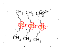 CCCCCCOP(=O)([O-])OCCCCCC.CCCCCCOP(=O)([O-])OCCCCCC.CCCCCCOP(=O)([O-])OCCCCCC.[Co+3]